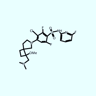 COC1(CN(C)C)CCC12CCN(c1cc(F)c(S(=O)(=O)Nc3cccc(F)n3)c(F)c1Cl)C2